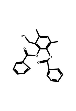 Cc1cc(C)c(OC(=O)c2ccccc2)c(OC(=O)c2ccccc2)c1CC(C)C